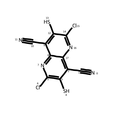 N#Cc1c(S)c(Cl)nc2c(C#N)c(S)c(Cl)nc12